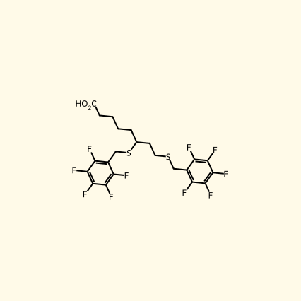 O=C(O)CCCCC(CCSCc1c(F)c(F)c(F)c(F)c1F)SCc1c(F)c(F)c(F)c(F)c1F